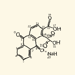 O=C1c2ccccc2C(=O)c2c1ccc(C(=O)O)c2S(=O)(=O)O.[NaH]